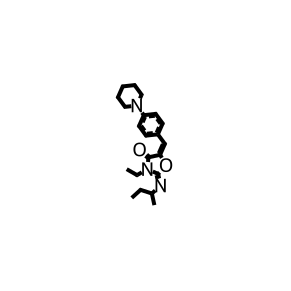 CCC(C)N=C1O/C(=C/c2ccc(N3CCCCC3)cc2)C(=O)N1CC